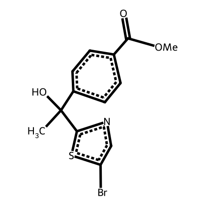 COC(=O)c1ccc(C(C)(O)c2ncc(Br)s2)cc1